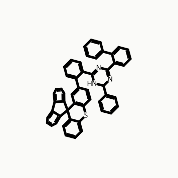 c1ccc(-c2ccccc2C2=NC(c3ccccc3)NC(c3ccccc3-c3ccc4c(c3)C3(c5ccccc5S4)c4ccccc4-c4ccccc43)=N2)cc1